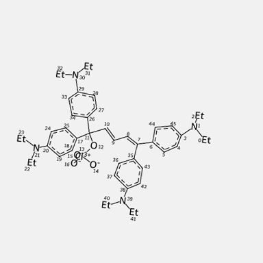 CCN(CC)c1ccc(C(=CC=CC(O[Cl+3]([O-])([O-])[O-])(c2ccc(N(CC)CC)cc2)c2ccc(N(CC)CC)cc2)c2ccc(N(CC)CC)cc2)cc1